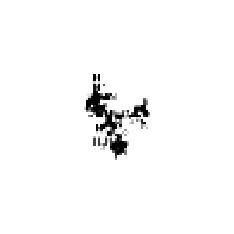 C[C@H](c1cccnc1N)N(C)c1nc(OC[C@@H]2C[C@@H](F)CN2C)nc(N2CC3(C2)SCc2sc(N)c(C#N)c23)c1C#N